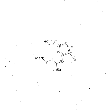 CCCCC(CCNC)Oc1cc(C(F)(F)F)ccc1Cl.Cl